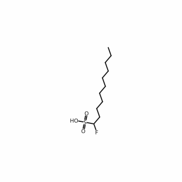 CCCCCCCCCCC(F)S(=O)(=O)O